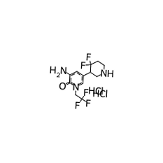 Cl.Cl.Nc1cc(C2CNCCC2(F)F)cn(CC(F)(F)F)c1=O